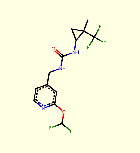 CC1(C(F)(F)F)CC1NC(=O)NCc1ccnc(OC(F)F)c1